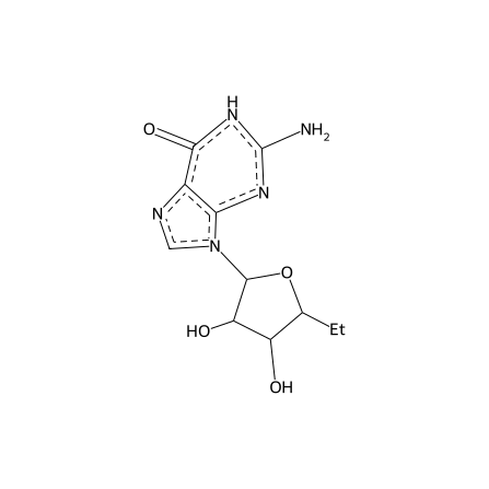 CCC1OC(n2cnc3c(=O)[nH]c(N)nc32)C(O)C1O